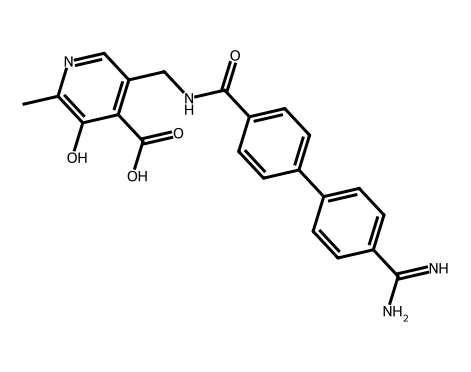 Cc1ncc(CNC(=O)c2ccc(-c3ccc(C(=N)N)cc3)cc2)c(C(=O)O)c1O